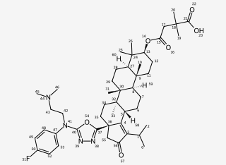 CC(C)C1=C2[C@H]3CC[C@@H]4[C@@]5(C)CC[C@H](OC(=O)CC(C)(C)C(=O)O)C(C)(C)[C@@H]5CC[C@@]4(C)[C@]3(C)CC[C@@]2(c2nnc(N(CCN(C)C)c3ccc(F)cc3)o2)CC1=O